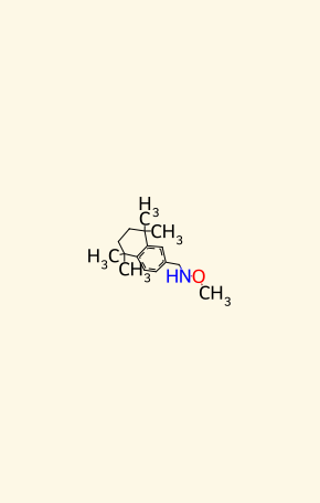 CONCc1ccc2c(c1)C(C)(C)CCC2(C)C